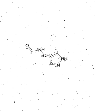 O=CNO.c1cn[nH]c1